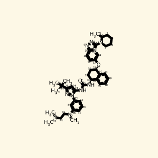 CC1CCCCN1c1nnc2ccc(O[C@@H]3CC[C@H](NC(=O)Nc4cc(C(C)(C)C)nn4-c4cccc(N(C)CCN(C)C)c4)c4ccccc43)cn12